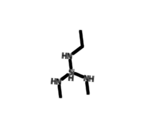 CCN[SiH](NC)NC